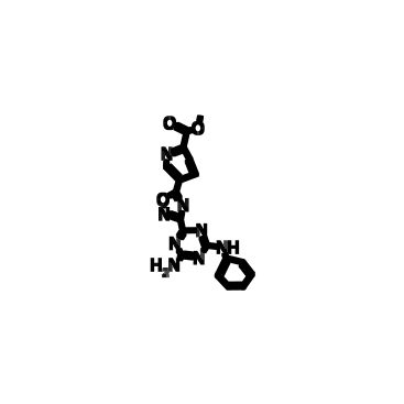 COC(=O)c1ccc(-c2nc(-c3nc(N)nc(Nc4ccccc4)n3)no2)cn1